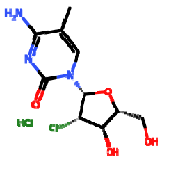 Cc1cn([C@@H]2O[C@H](CO)[C@@H](O)[C@@H]2Cl)c(=O)nc1N.Cl